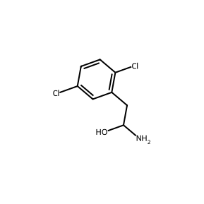 NC(O)Cc1cc(Cl)ccc1Cl